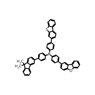 CC1(C)c2ccccc2-c2cc(-c3ccc(N(c4ccc(-c5ccc6c(c5)sc5ccccc56)cc4)c4ccc(-c5ccc6oc7ccccc7c6c5)cc4)cc3)ccc21